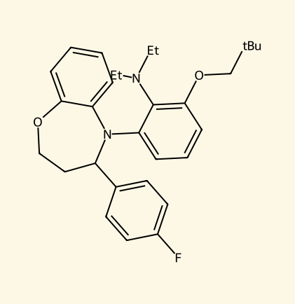 CCN(CC)c1c(OCC(C)(C)C)cccc1N1c2ccccc2OCCC1c1ccc(F)cc1